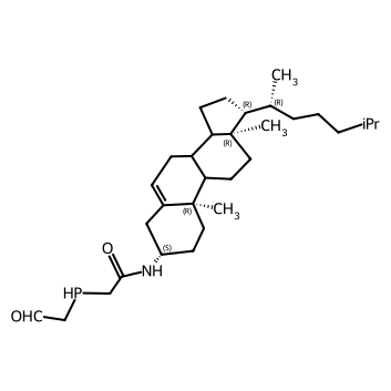 CC(C)CCC[C@@H](C)[C@H]1CCC2C3CC=C4C[C@@H](NC(=O)CPCC=O)CC[C@]4(C)C3CC[C@@]21C